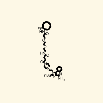 CCCCc1nc2c(N)nc3ccccc3c2n1CCN1CCN(C(=O)CCC(=O)NCCOCCOCCC(=O)Nc2ccccccccc2CC)CC1